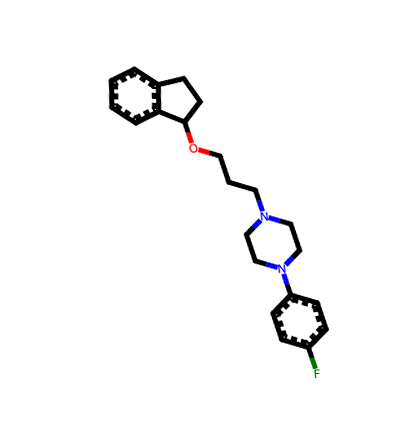 Fc1ccc(N2CCN(CCCOC3CCc4ccccc43)CC2)cc1